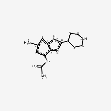 NC(=O)Oc1cc(N)cc2[nH]c(C3CCNCC3)nc12